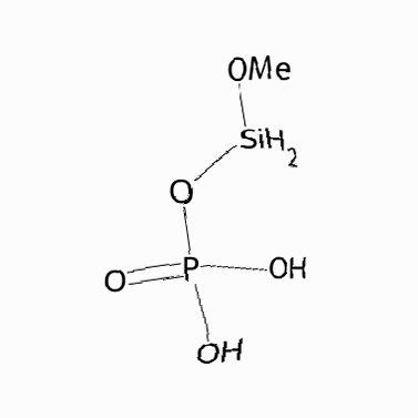 CO[SiH2]OP(=O)(O)O